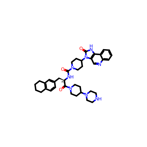 O=C(N[C@H](Cc1ccc2c(c1)CCCC2)C(=O)N1CCC(N2CCNCC2)CC1)N1CCC(n2c(=O)[nH]c3c4ccccc4ncc32)CC1